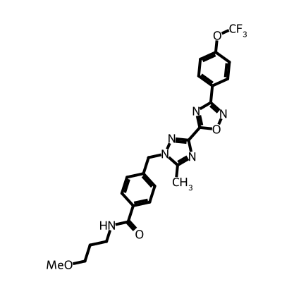 COCCCNC(=O)c1ccc(Cn2nc(-c3nc(-c4ccc(OC(F)(F)F)cc4)no3)nc2C)cc1